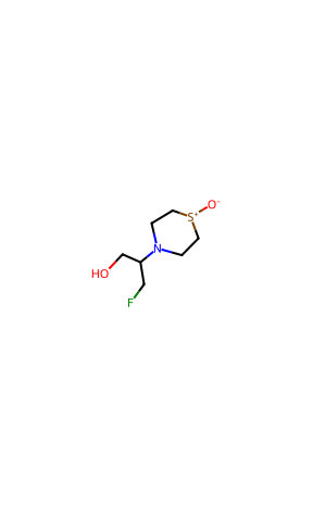 [O-][S+]1CCN(C(CO)CF)CC1